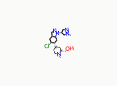 CN1CC[C@H](c2cc3c(cnn3-c3cnn(C)c3)cc2Cl)C[C@@H]1CO